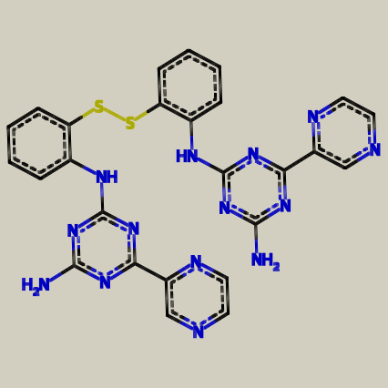 Nc1nc(Nc2ccccc2SSc2ccccc2Nc2nc(N)nc(-c3cnccn3)n2)nc(-c2cnccn2)n1